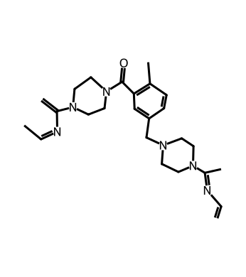 C=C/N=C(\C)N1CCN(Cc2ccc(C)c(C(=O)N3CCN(C(=C)/N=C\C)CC3)c2)CC1